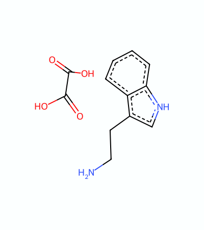 NCCc1c[nH]c2ccccc12.O=C(O)C(=O)O